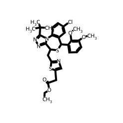 CCOC(=O)Cc1cnc(CC2SC(c3cccc(OC)c3OC)c3cc(Cl)ccc3-n3c2nnc3C(C)(C)C)s1